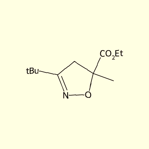 CCOC(=O)C1(C)CC(C(C)(C)C)=NO1